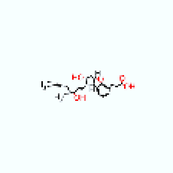 CC#CC[C@@H](C)[C@@H](O)/C=C/[C@@H]1[C@H]2c3cccc(CCC(=O)O)c3O[C@H]2C[C@H]1O